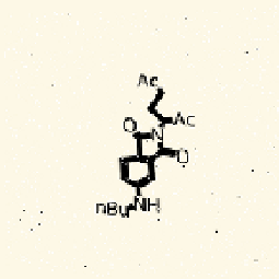 CCCCNc1ccc2c(c1)C(=O)N(C(CCC(C)=O)C(C)=O)C2=O